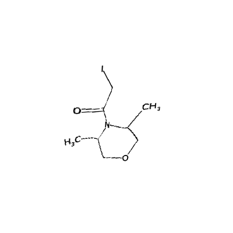 CC1COCC(C)N1C(=O)CI